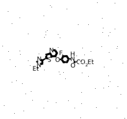 CCOC(=O)C(=O)Nc1ccc(Oc2ccnc3cc(-c4cn(CC)cn4)sc23)c(F)c1